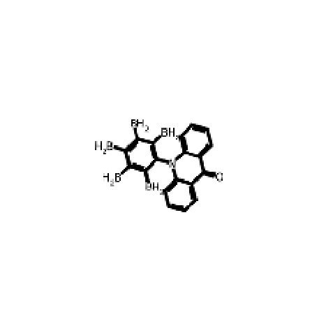 Bc1c(B)c(B)c(-n2c3ccccc3c(=O)c3ccccc32)c(B)c1B